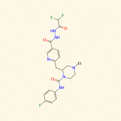 CCN1CCN(C(=O)Nc2ccc(F)cc2)C(Cc2ccc(C(=O)NNC(=O)C(F)F)cn2)C1